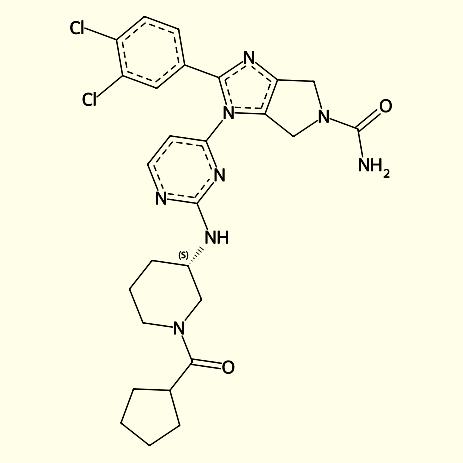 NC(=O)N1Cc2nc(-c3ccc(Cl)c(Cl)c3)n(-c3ccnc(N[C@H]4CCCN(C(=O)C5CCCC5)C4)n3)c2C1